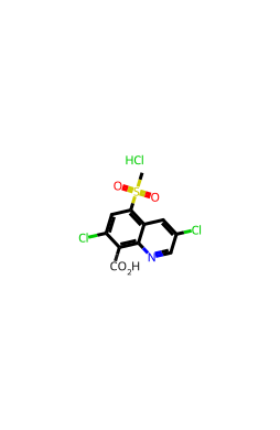 CS(=O)(=O)c1cc(Cl)c(C(=O)O)c2ncc(Cl)cc12.Cl